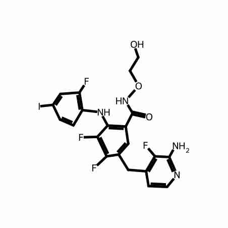 Nc1nccc(Cc2cc(C(=O)NOCCO)c(Nc3ccc(I)cc3F)c(F)c2F)c1F